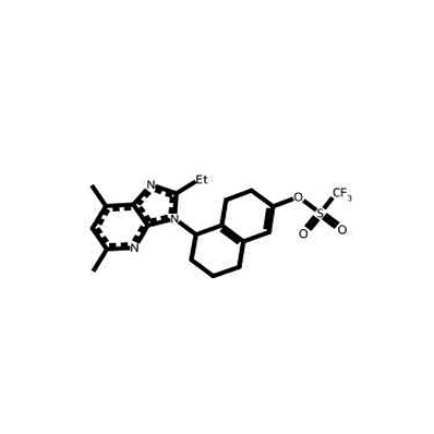 CCc1nc2c(C)cc(C)nc2n1C1CCCC2=C1CCC(OS(=O)(=O)C(F)(F)F)=C2